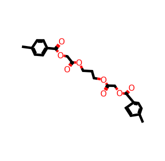 Cc1ccc(C(=O)OCC(=O)OCCCOC(=O)COC(=O)c2ccc(C)cc2)cc1